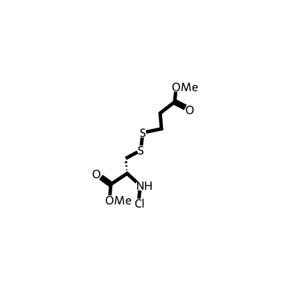 COC(=O)CCSSC[C@H](NCl)C(=O)OC